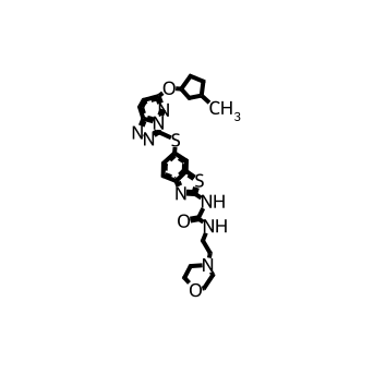 CC1CCC(Oc2ccc3nnc(Sc4ccc5nc(NC(=O)NCCN6CCOCC6)sc5c4)n3n2)C1